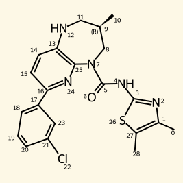 Cc1nc(NC(=O)N2C[C@H](C)CNc3ccc(-c4cccc(Cl)c4)nc32)sc1C